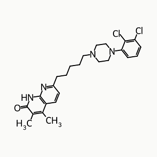 Cc1c(C)c2ccc(CCCCCN3CCN(c4cccc(Cl)c4Cl)CC3)nc2[nH]c1=O